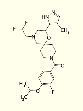 Cc1cn[nH]c1C1CN(CC(F)F)CC2(CCN(C(=O)c3ccc(OC(C)C)c(F)c3)CC2)O1